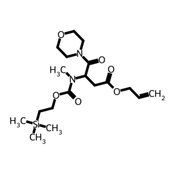 C=CCOC(=O)CC(C(=O)N1CCOCC1)N(C)C(=O)OCC[Si](C)(C)C